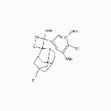 COc1cc(C2(OC)OOC23C2CC4CC3CC(Cl)(C4)C2)cc(OC)c1Cl